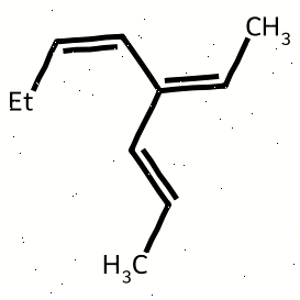 C/C=C(\C=C/CC)/C=C/C